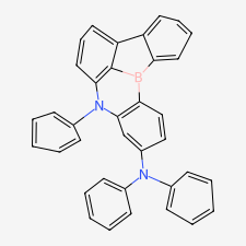 c1ccc(N(c2ccccc2)c2ccc3c(c2)N(c2ccccc2)c2cccc4c2B3c2ccccc2-4)cc1